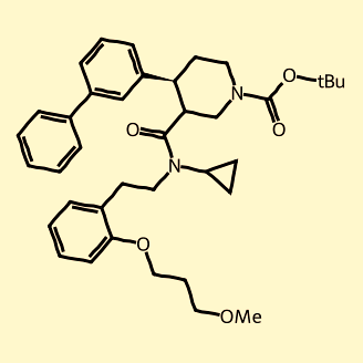 COCCCOc1ccccc1CCN(C(=O)C1CN(C(=O)OC(C)(C)C)CC[C@@H]1c1cccc(-c2ccccc2)c1)C1CC1